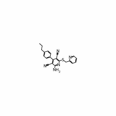 CCCc1ccc(-c2c(C#N)c(N)nc(SCc3ccccn3)c2C#N)cc1